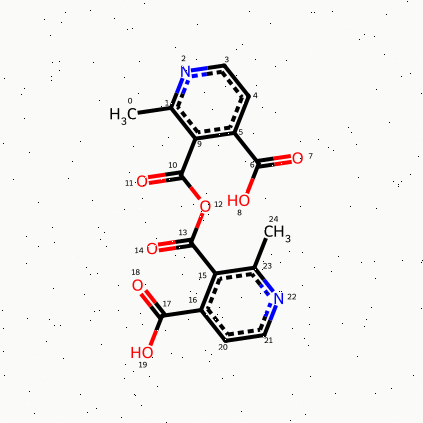 Cc1nccc(C(=O)O)c1C(=O)OC(=O)c1c(C(=O)O)ccnc1C